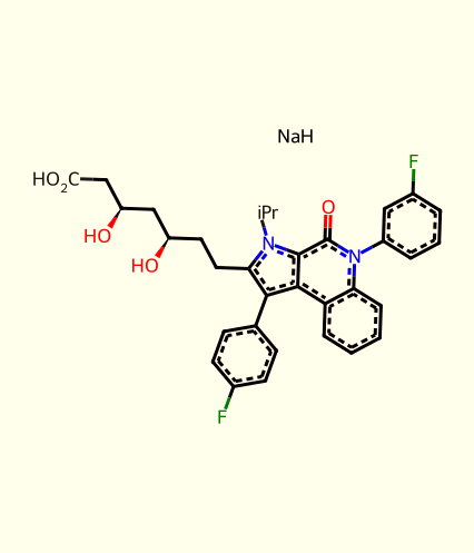 CC(C)n1c(CC[C@@H](O)C[C@@H](O)CC(=O)O)c(-c2ccc(F)cc2)c2c3ccccc3n(-c3cccc(F)c3)c(=O)c21.[NaH]